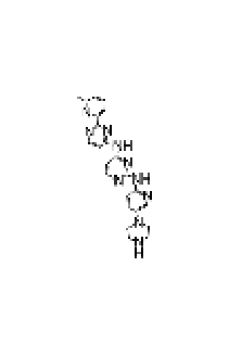 Cc1cccc(-c2nccc(Nc3ccnc(Nc4ccc(N5CCNCC5)cn4)n3)n2)n1